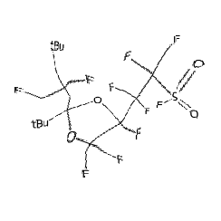 CC(C)(C)C(F)(F)C1(C(C)(C)C)OC(F)(F)C(F)(C(F)(F)C(F)(F)S(=O)(=O)F)O1